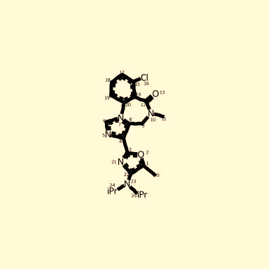 Cc1oc(-c2ncn3c2CN(C)C(=O)c2c(Cl)cccc2-3)nc1N(C(C)C)C(C)C